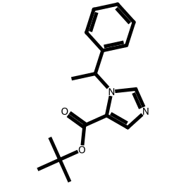 CC(c1ccccc1)n1cncc1C(=O)OC(C)(C)C